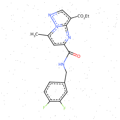 CCOC(=O)c1cnn2c(C)cc(C(=O)NCc3ccc(F)c(F)c3)nc12